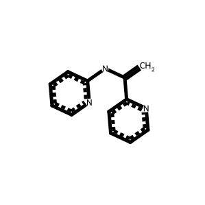 C=C([N]c1ccccn1)c1ccccn1